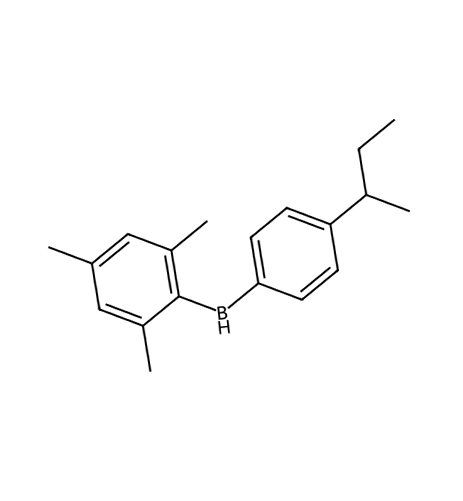 CCC(C)c1ccc(Bc2c(C)cc(C)cc2C)cc1